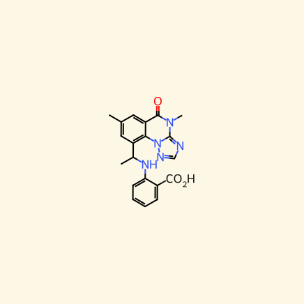 Cc1cc(C(C)Nc2ccccc2C(=O)O)c2c(c1)c(=O)n(C)c1ncnn21